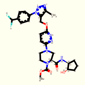 Cc1nnn(-c2ccc(C(F)F)cc2)c1COc1ccc(N2CCN(C(=O)OC(C)(C)C)[C@H](C(=O)N[C@H]3CCC[C@@H]3O)C2)nn1